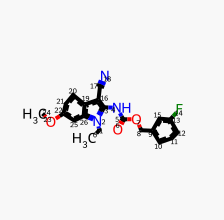 CCn1c(NC(=O)OCc2cccc(F)c2)c(C#N)c2ccc(OC)cc21